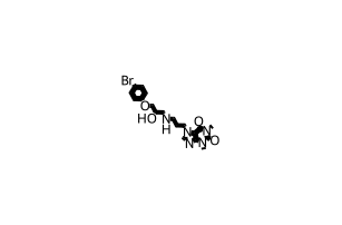 Cn1c(=O)c2c(ncn2CCCNCC(O)COc2ccc(Br)cc2)n(C)c1=O